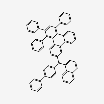 c1ccc(-c2ccc(N(c3ccc4c(c3)c3ccccc3c3c(-c5ccccc5)cc(-c5ccccc5)c(-c5ccccc5)c43)c3cccc4ccccc34)cc2)cc1